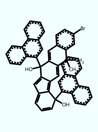 CC1(C)C2=CC3=C4C(=CC=CC4(O)c4cc5ccccc5c5ccccc45)C=C3C(O)(c3cc4ccccc4c4ccccc34)C2=Cc2ccc(Br)cc21